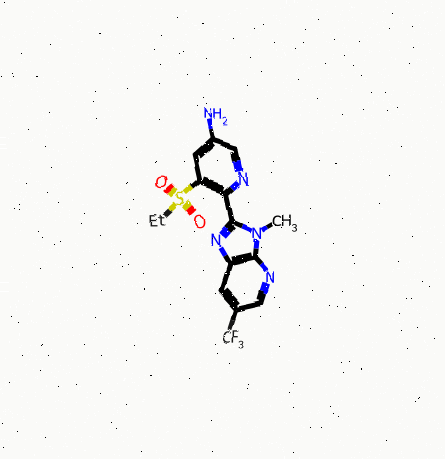 CCS(=O)(=O)c1cc(N)cnc1-c1nc2cc(C(F)(F)F)cnc2n1C